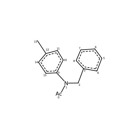 CC(=O)N(Cc1ccccc1)c1ccc(C)cc1